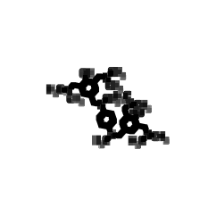 CN(C)Cc1cc(CN(C)c2ccc(N(C)Cc3cc(CN(C)C)c(O)c(CN(C)C)c3)cc2)cc(CN(C)C)c1O